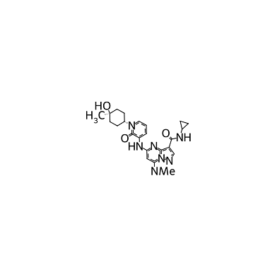 CNc1cc(Nc2cccn([C@H]3CC[C@](C)(O)CC3)c2=O)nc2c(C(=O)NC3CC3)cnn12